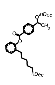 CCCCCCCCCCCCCCCc1ccccc1OC(=O)c1ccc(C(C)OCCCCCCCCCC)cc1